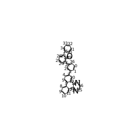 c1cc(-c2ccc3c4ccccc4c4nccnc4c3c2)cc(-c2cccc3c2oc2ccccc23)c1